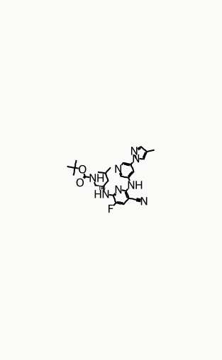 Cc1cnn(-c2cncc(Nc3nc(N[C@@H](CNC(=O)OC(C)(C)C)CC(C)C)c(F)cc3C#N)c2)c1